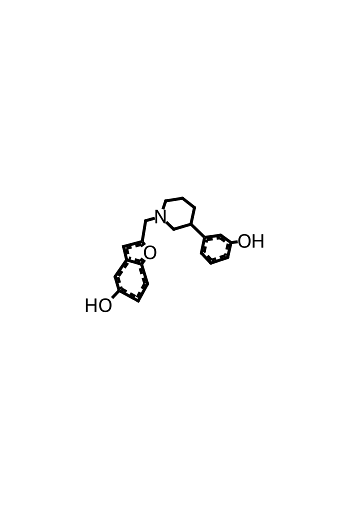 Oc1cccc(C2CCCN(Cc3cc4cc(O)ccc4o3)C2)c1